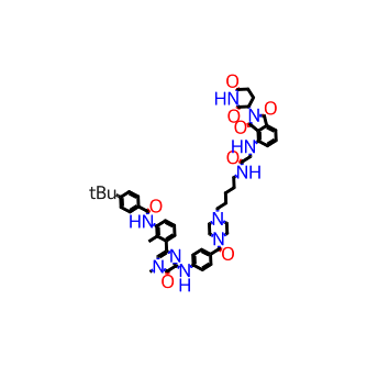 Cc1c(NC(=O)c2ccc(C(C)(C)C)cc2)cccc1-c1cn(C)c(=O)c(Nc2ccc(C(=O)N3CCN(CCCCCNC(=O)CNc4cccc5c4C(=O)N(C4CCC(=O)NC4=O)C5=O)CC3)cc2)n1